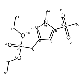 CCOP(=O)(Cc1cc(S(C)(=O)=O)n(C)n1)OCC